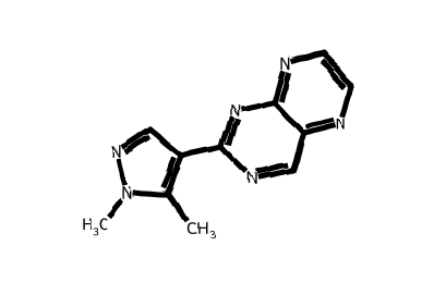 Cc1c(-c2ncc3nccnc3n2)cnn1C